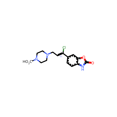 O=C(O)N1CCN(C/C=C(\Cl)c2ccc3[nH]c(=O)oc3c2)CC1